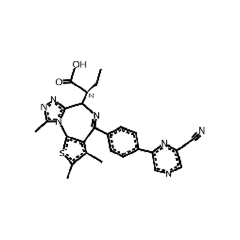 CC[C@H](C(=O)O)C1N=C(c2ccc(-c3cncc(C#N)n3)cc2)c2c(sc(C)c2C)-n2c(C)nnc21